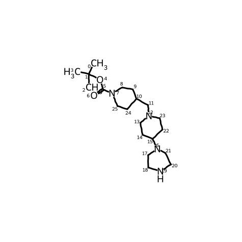 CC(C)(C)OC(=O)N1CCC(CN2CCC(N3CCNCC3)CC2)CC1